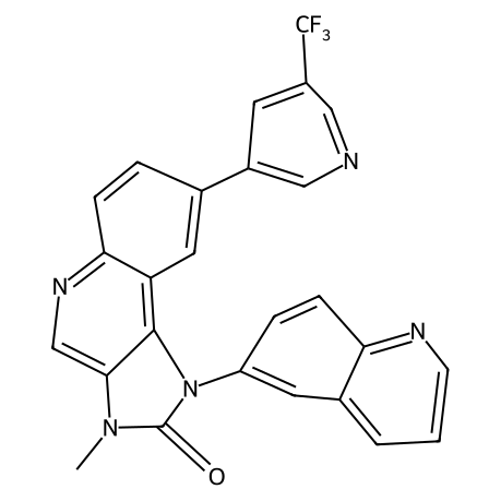 Cn1c(=O)n(-c2ccc3ncccc3c2)c2c3cc(-c4cncc(C(F)(F)F)c4)ccc3ncc21